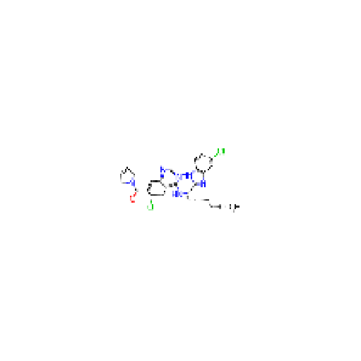 O=C(O)CCC[C@H](Nc1ncnc2cc(C(=O)N3CC=CC3)c(Cl)cc12)c1nc2cc(Cl)ccc2[nH]1